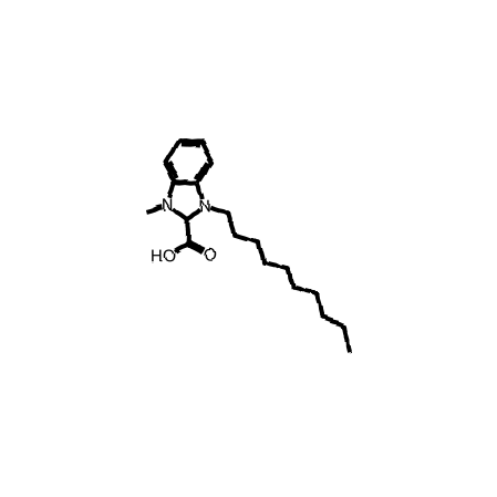 CCCCCCCCCCN1c2ccccc2N(C)C1C(=O)O